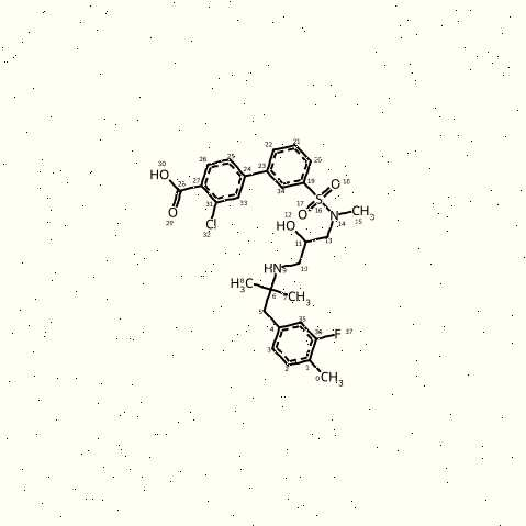 Cc1ccc(CC(C)(C)NCC(O)CN(C)S(=O)(=O)c2cccc(-c3ccc(C(=O)O)c(Cl)c3)c2)cc1F